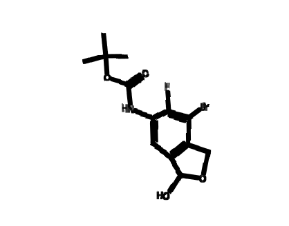 CC(C)(C)OC(=O)Nc1cc2c(c(Br)c1F)COC2O